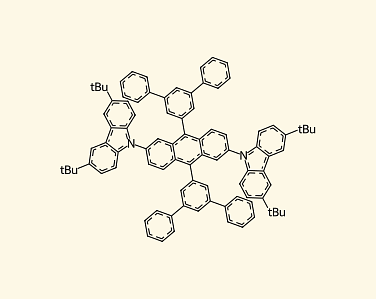 CC(C)(C)c1ccc2c(c1)c1cc(C(C)(C)C)ccc1n2-c1ccc2c(-c3cc(-c4ccccc4)cc(-c4ccccc4)c3)c3cc(-n4c5ccc(C(C)(C)C)cc5c5cc(C(C)(C)C)ccc54)ccc3c(-c3cc(-c4ccccc4)cc(-c4ccccc4)c3)c2c1